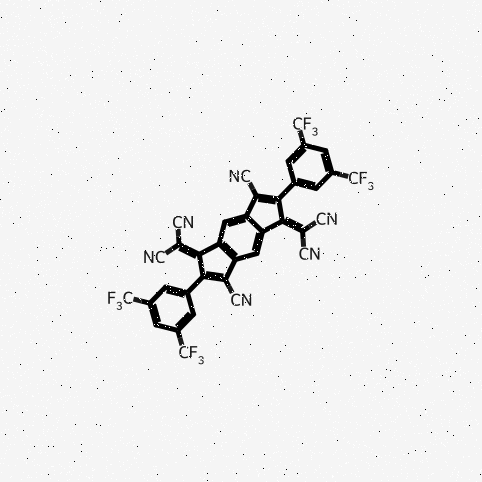 N#CC(C#N)=C1C(c2cc(C(F)(F)F)cc(C(F)(F)F)c2)=C(C#N)c2cc3c(cc21)C(C#N)=C(c1cc(C(F)(F)F)cc(C(F)(F)F)c1)C3=C(C#N)C#N